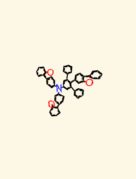 c1ccc(-c2cc(N(c3ccc4c(c3)oc3ccccc34)c3ccc4c(c3)oc3ccccc34)cc(-c3ccccc3)c2-c2ccc3c(c2)oc2ccccc23)cc1